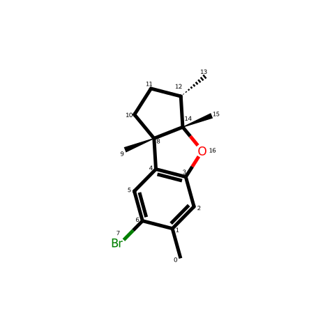 Cc1cc2c(cc1Br)[C@]1(C)CC[C@H](C)[C@]1(C)O2